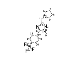 Cn1nc(CN2CCCC2)nc1-c1ccc(C(F)(F)F)cc1